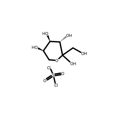 O=S(=O)(Cl)Cl.OCC1(O)OC[C@@H](O)[C@@H](O)[C@@H]1O